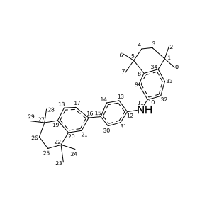 CC1(C)CCC(C)(C)c2cc(Nc3ccc(-c4ccc5c(c4)C(C)(C)CCC5(C)C)cc3)ccc21